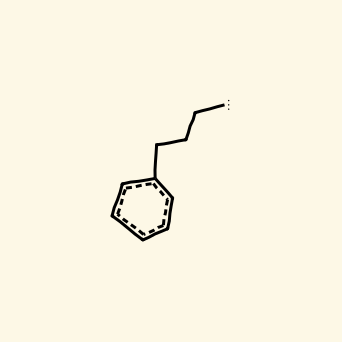 [C]CCCc1ccccc1